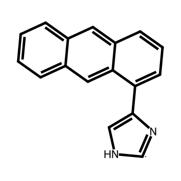 [c]1nc(-c2cccc3cc4ccccc4cc23)c[nH]1